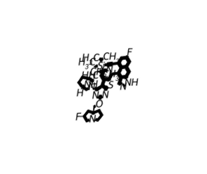 CC(C)[Si](C#Cc1cc(F)cc2cc3[nH]ncc3c(-c3nccc4c3sc3nc(OC[C@@]56CCCN5C[C@H](F)C6)nc(N5C[C@H]6CC[C@@H](C5)N6)c34)c12)(C(C)C)C(C)C